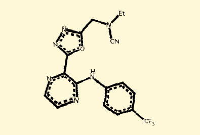 CCN(C#N)Cc1nnc(-c2nccnc2Nc2ccc(C(F)(F)F)cc2)o1